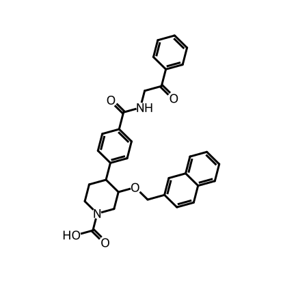 O=C(CNC(=O)c1ccc(C2CCN(C(=O)O)CC2OCc2ccc3ccccc3c2)cc1)c1ccccc1